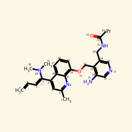 C=C/C=C(/c1cc(C)nc2c(OCc3c(N)cncc3CNC(=O)C(C)C)cccc12)N(C)C